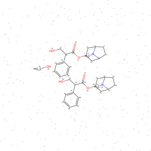 CN1C2CCC1CC(OC(=O)C(CO)c1ccccc1)C2.CN1C2CCC1CC(OC(=O)C(CO)c1ccccc1)C2.O=S(=O)(O)O